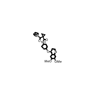 COc1cc2nccc(Oc3ccc(NC(=O)C4(C(=O)N5CC6C7C6C75)CC4)cc3)c2cc1OC